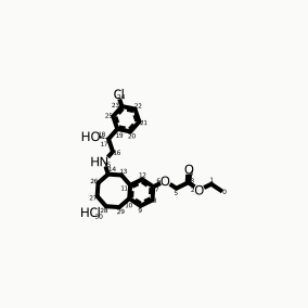 CCOC(=O)COc1ccc2c(c1)CC(NC[C@H](O)c1cccc(Cl)c1)CCCC2.Cl